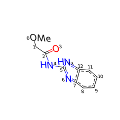 COCC(=O)Nc1nc2ccccc2[nH]1